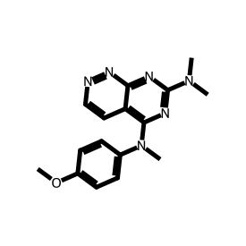 COc1ccc(N(C)c2nc(N(C)C)nc3nnccc23)cc1